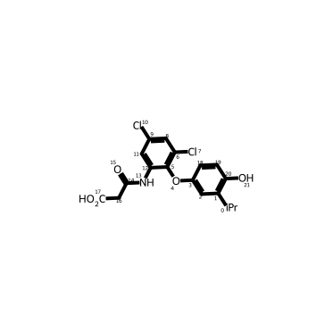 CC(C)c1cc(Oc2c(Cl)cc(Cl)cc2NC(=O)CC(=O)O)ccc1O